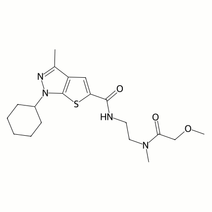 COCC(=O)N(C)CCNC(=O)c1cc2c(C)nn(C3CCCCC3)c2s1